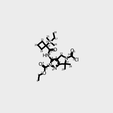 CCOC(=O)n1nc2c(c1NC(=O)C1(S(C)(C)CC)CCC1)CN(C(=O)Cl)C2(C)C